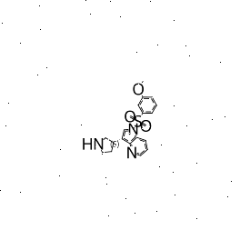 COc1cccc(S(=O)(=O)n2cc([C@@H]3CCNC3)c3ncccc32)c1